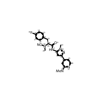 CNc1cc(-c2cc(NC(=O)[C@H](Cc3ccc(F)cc3)N(C)C#N)n(C)n2)ccn1